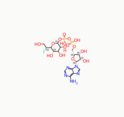 Nc1ncnc2c1ncn2[C@@H]1O[C@H](COP(=O)(O)OP(=O)(O)O[C@@H]2OC([C@@H](F)CO)[C@@H](O)C(O)C2O)[C@H](O)[C@@H]1O